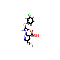 Cc1cnc(N2CC(Oc3cccc(Cl)c3)C2)c(C(=O)O)c1